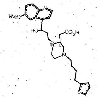 COc1ccc2nccc(C(O)CC[C@@H]3CCN(CCCCc4cccs4)C[C@@H]3CC(=O)O)c2c1